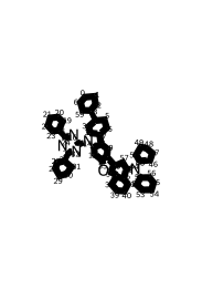 c1ccc(-c2ccc3c4cc5c(cc4n(-c4nc(-c6ccccc6)nc(-c6ccccc6)n4)c3c2)oc2c3ccccc3c(N(c3ccccc3)c3ccccc3)cc52)cc1